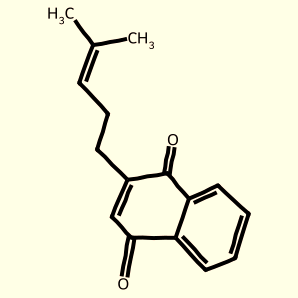 CC(C)=CCCC1=CC(=O)c2ccccc2C1=O